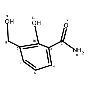 NC(=O)c1cccc(CO)c1O